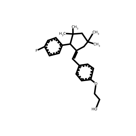 CC1(C)CC(=Cc2ccc(OCCO)cc2)C(c2ccc(F)cc2)C(C)(C)C1